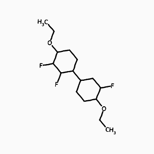 CCOC1CCC(C2CCC(OCC)C(F)C2F)CC1F